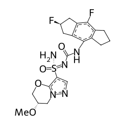 CO[C@@H]1COc2c([S@@](N)(=O)=NC(=O)Nc3c4c(c(F)c5c3C[C@@H](F)C5)CCC4)cnn2C1